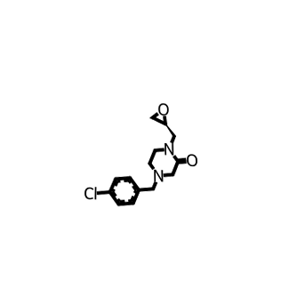 O=C1CN(Cc2ccc(Cl)cc2)CCN1C[C@H]1CO1